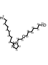 CCCCCCCCCCCCCCCCCCC1=NCCN1CCOCCCCCCCCCCCCCCCC